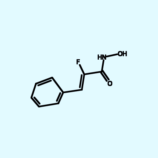 O=C(NO)/C(F)=C/c1ccccc1